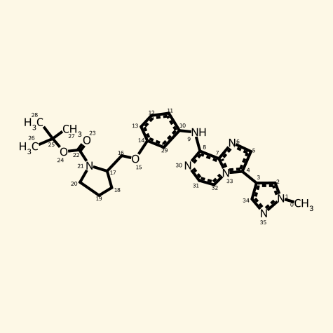 Cn1cc(-c2cnc3c(Nc4cccc(OCC5CCCN5C(=O)OC(C)(C)C)c4)nccn23)cn1